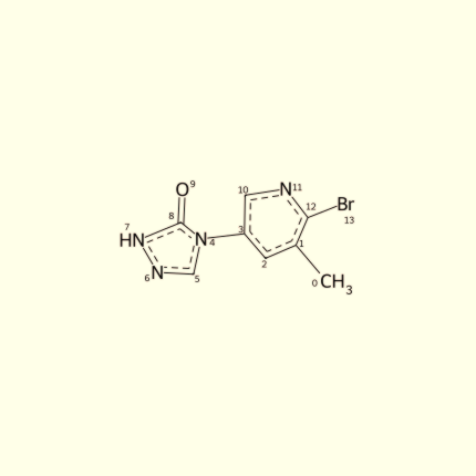 Cc1cc(-n2cn[nH]c2=O)cnc1Br